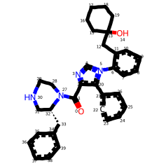 O=C(c1ncn(-c2ccccc2CC2(O)CCCCC2)c1-c1ccccc1)N1CCNC[C@H]1Cc1ccccc1